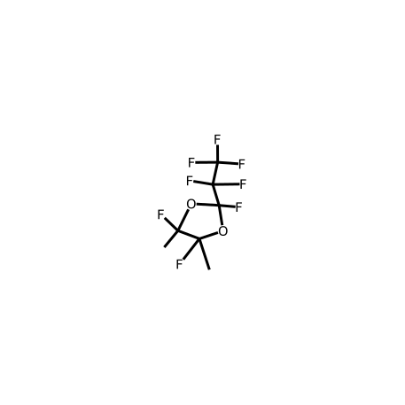 CC1(F)OC(F)(C(F)(F)C(F)(F)F)OC1(C)F